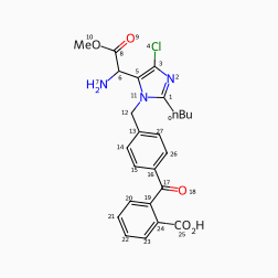 CCCCc1nc(Cl)c(C(N)C(=O)OC)n1Cc1ccc(C(=O)c2ccccc2C(=O)O)cc1